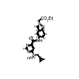 CCCN(CC1CC1)c1cc(C(=O)Nc2ccc3nn(CC(=O)OCC)cc3c2)ncn1